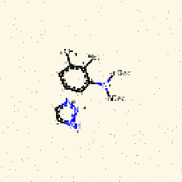 CCCCCCCCCCN(CCCCCCCCCC)c1cccc(C)c1CC.c1c[nH]nn1